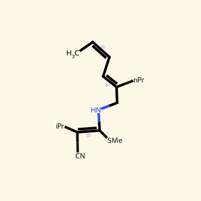 C/C=C\C=C(/CCC)CN/C(SC)=C(/C#N)C(C)C